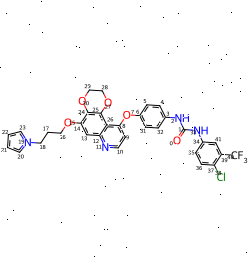 O=C(Nc1ccc(Oc2ccnc3cc(OCCCn4cccc4)c4c(c23)OCCO4)cc1)Nc1ccc(Cl)c(C(F)(F)F)c1